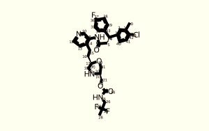 Cc1cc([C@H](CC(=O)Nc2cnccc2CC[C@@H]2CN[C@H](COC(=O)NCC(C)(F)F)CO2)c2ccc(F)cc2)ccc1Cl